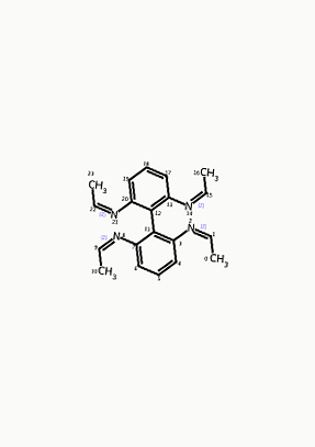 C/C=N\c1cccc(/N=C\C)c1-c1c(/N=C\C)cccc1/N=C\C